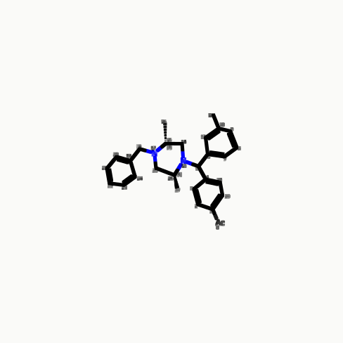 CC(=O)c1ccc(C(c2cccc(C)c2)N2C[C@@H](C)N(Cc3ccccc3)C[C@@H]2C)cc1